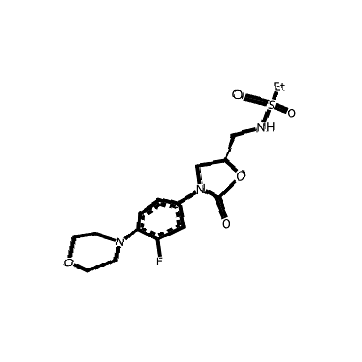 CCS(=O)(=O)NC[C@@H]1CN(c2ccc(N3CCOCC3)c(F)c2)C(=O)O1